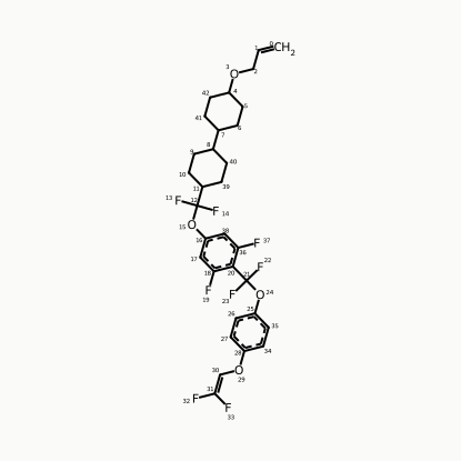 C=CCOC1CCC(C2CCC(C(F)(F)Oc3cc(F)c(C(F)(F)Oc4ccc(OC=C(F)F)cc4)c(F)c3)CC2)CC1